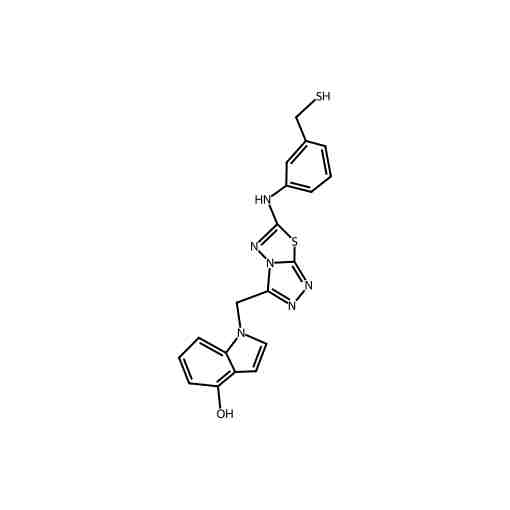 Oc1cccc2c1ccn2Cc1nnc2sc(Nc3cccc(CS)c3)nn12